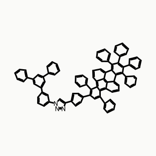 c1ccc(-c2cc(-c3ccccc3)cc(-c3cccc(-n4cc(-c5ccc(-c6cc(-c7ccccc7)c7c8cccc9c%10c(-c%11ccccc%11)c(-c%11ccccc%11)c(-c%11ccccc%11)c(-c%11ccccc%11)c%10c%10cccc(c7c6-c6ccccc6)c%10c89)cc5)nn4)c3)c2)cc1